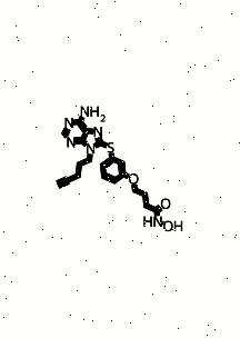 C#CCCCn1c(Sc2cccc(OCCCC(=O)NO)c2)nc2c(N)ncnc21